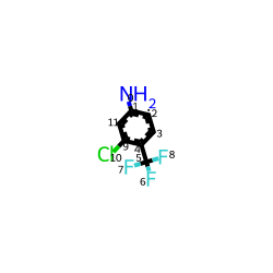 Nc1[c]cc(C(F)(F)F)c(Cl)c1